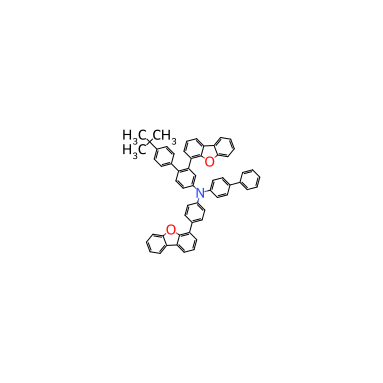 CC(C)(C)c1ccc(-c2ccc(N(c3ccc(-c4ccccc4)cc3)c3ccc(-c4cccc5c4oc4ccccc45)cc3)cc2-c2cccc3c2oc2ccccc23)cc1